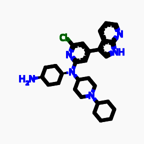 N[C@H]1CC[C@H](N(c2cc(-c3c[nH]c4ncccc34)cc(Cl)n2)C2CCN(C3CCCCC3)CC2)CC1